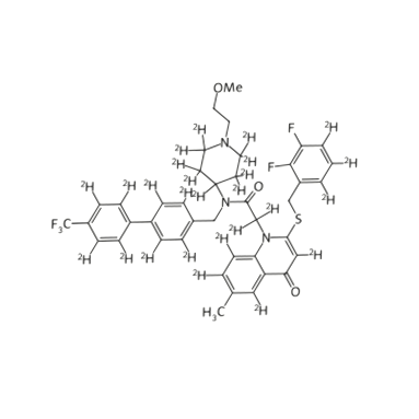 [2H]c1c([2H])c(F)c(F)c(CSc2c([2H])c(=O)c3c([2H])c(C)c([2H])c([2H])c3n2C([2H])([2H])C(=O)N(Cc2c([2H])c([2H])c(-c3c([2H])c([2H])c(C(F)(F)F)c([2H])c3[2H])c([2H])c2[2H])C2([2H])C([2H])([2H])C([2H])([2H])N(CCOC)C([2H])([2H])C2([2H])[2H])c1[2H]